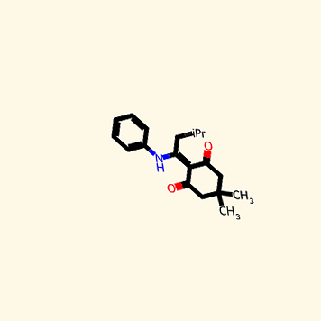 CC(C)CC(Nc1ccccc1)=C1C(=O)CC(C)(C)CC1=O